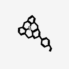 C=Cc1ccc(-c2cc3c4c(c2)Cc2cccc5c2B4c2c(cccc2C3)C5)cc1